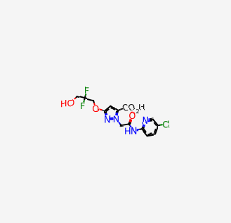 O=C(Cn1nc(OCC(F)(F)CO)cc1C(=O)O)Nc1ccc(Cl)cn1